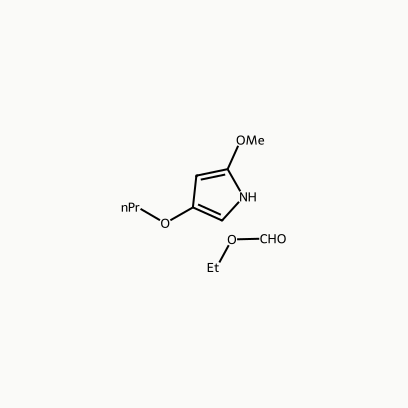 CCCOc1c[nH]c(OC)c1.CCOC=O